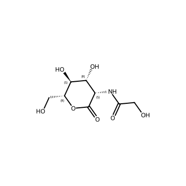 O=C(CO)N[C@@H]1C(=O)O[C@H](CO)[C@@H](O)[C@@H]1O